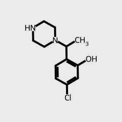 CC(c1ccc(Cl)cc1O)N1CCNCC1